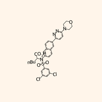 CCCCC(C(=O)O)N(c1ccc2cc(-c3ccc(N4CCOCC4)nn3)ccc2c1)S(=O)(=O)c1cc(Cl)cc(Cl)c1